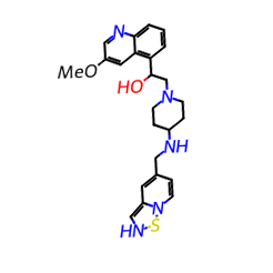 COc1cnc2cccc(C(O)CN3CCC(NCC4=CC5=CNSN5C=C4)CC3)c2c1